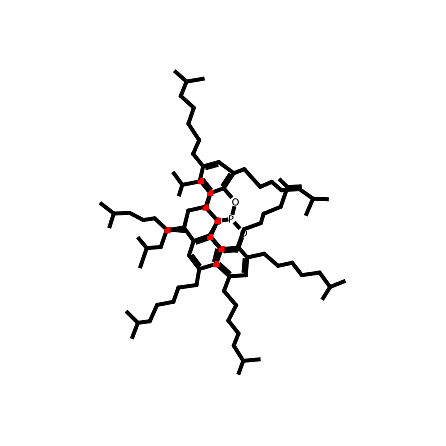 CC(C)CCCCCc1cc(CCCCCC(C)C)c(OP(Oc2c(CCCCCC(C)C)cc(CCCCCC(C)C)cc2CCCCCC(C)C)Oc2c(CCCCCC(C)C)cc(CCCCCC(C)C)cc2CCCCCC(C)C)c(CCCCCC(C)C)c1